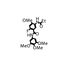 CCC(=O)Nc1cc(C(=O)Nc2cc(OC)c(OC)c(OC)c2)c(F)cc1OC